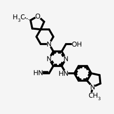 C[C@H]1CC2(CCN(c3nc(C=N)c(Nc4ccc5c(c4)N(C)CC5)nc3CO)CC2)CO1